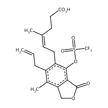 C=CCc1c(C)c2c(c(OS(=O)(=O)C(F)(F)F)c1CC=C(C)CCC(=O)O)C(=O)OC2